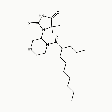 CCCCCCCN(CCC)C(=S)N1CCNCC1N1C(=S)NC(=O)C1(C)C